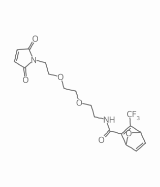 O=C(NCCOCCOCCN1C(=O)C=CC1=O)C1=C(C(F)(F)F)C2C=CC1O2